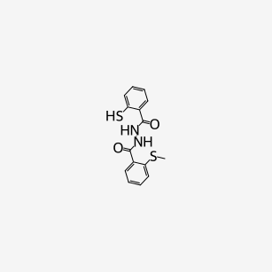 CSc1ccccc1C(=O)NNC(=O)c1ccccc1S